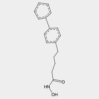 O=C(CCCCc1ccc(-c2ccccc2)cc1)NO